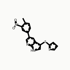 Cc1ccc(-c2cnc3[nH]cc(Sc4cccs4)c3c2)cc1[N+](=O)[O-]